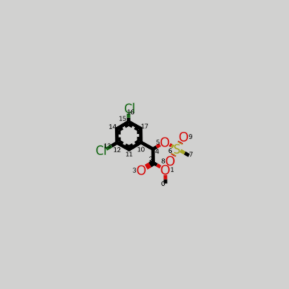 COC(=O)C(OS(C)(=O)=O)c1cc(Cl)cc(Cl)c1